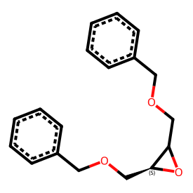 c1ccc(COCC2O[C@H]2COCc2ccccc2)cc1